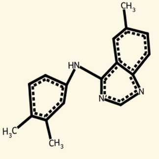 Cc1ccc2ncnc(Nc3ccc(C)c(C)c3)c2c1